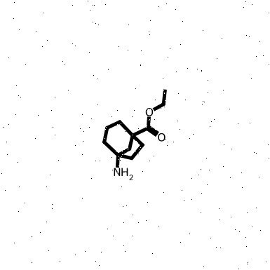 CCOC(=O)C12CCCC(N)(CC1)C2